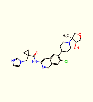 C[C@]1(N2CCC(c3cc4cc(NC(=O)C5(Cn6ccnc6)CC5)ncc4cc3Cl)CC2)COC[C@H]1O